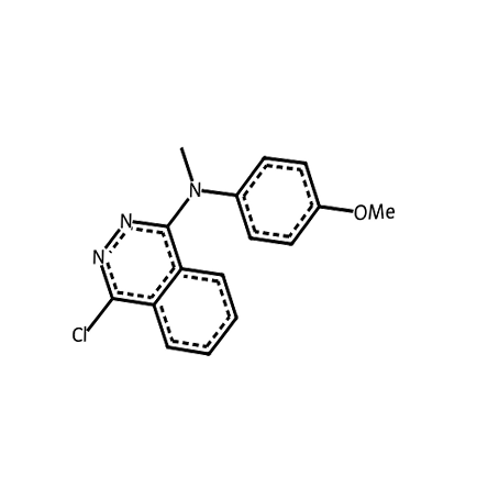 COc1ccc(N(C)c2nnc(Cl)c3ccccc23)cc1